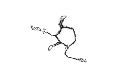 CCOC(=O)C1C(=O)CCN(CC(C)(C)C)C1=O